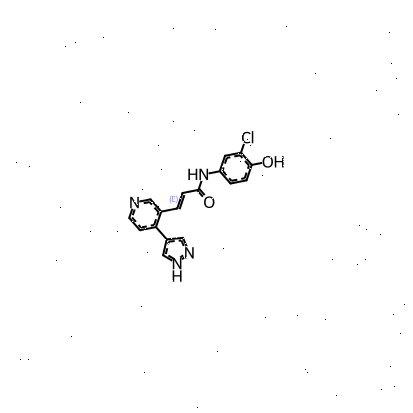 O=C(/C=C/c1cnccc1-c1cn[nH]c1)Nc1ccc(O)c(Cl)c1